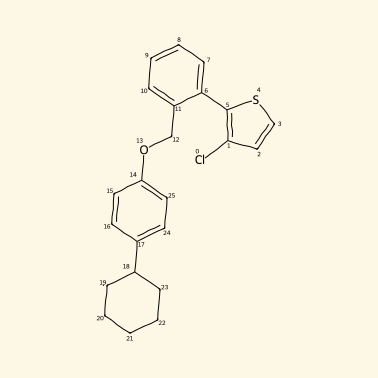 Clc1ccsc1-c1ccccc1COc1ccc(C2[CH]CCCC2)cc1